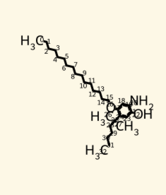 CCCCCCCCCCCCCCCCOc1cc(N)c(O)cc1C(C)(C)CCCCC